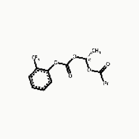 CC(C)C(=O)O[C@@H](C)OC(=O)Oc1ccccc1C(F)(F)F